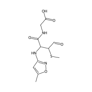 CSC(C=O)C(Nc1cc(C)on1)C(=O)NCC(=O)O